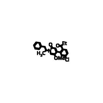 CCC(=O)c1ccc(Cl)cc1-c1cc(=O)n(C(C)Cc2ccccc2)cc1OC